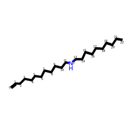 C=CCCCCCCCCCCNCCCCCCCCCC